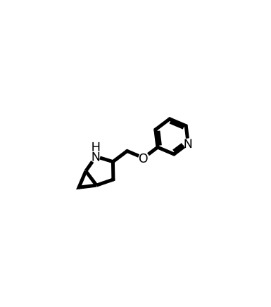 c1cncc(OCC2CC3CC3N2)c1